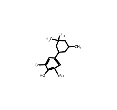 CC1CC(c2cc(Br)c(O)c(C(C)(C)C)c2)CC(C)(C)C1